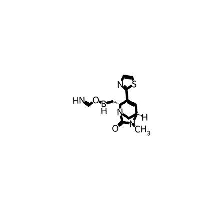 CN1C(=O)N2C[C@H]1C=C(c1nccs1)[C@H]2CBOC=N